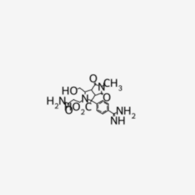 CN1C(=O)C2C(CO)N(CCC(N)=O)C(C(=O)O)(c3ccc(C(=N)N)cc3)C2C1=O